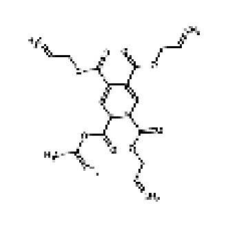 C=CCOC(=O)c1cc(C(=O)OCC=C)c(C(=O)OC(=C)C)cc1C(=O)OCC=C